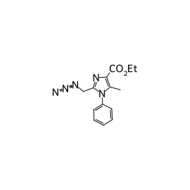 CCOC(=O)c1nc(CN=[N+]=[N-])n(-c2ccccc2)c1C